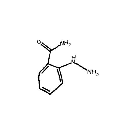 NNc1ccccc1C(N)=O